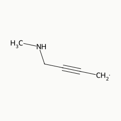 [CH2]C#CCNC